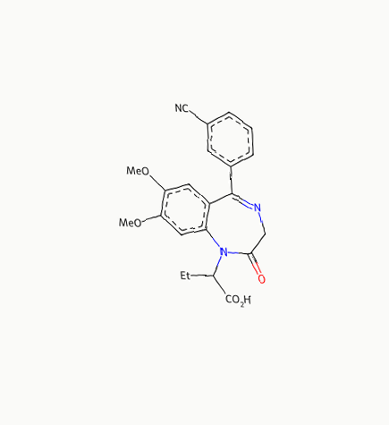 CCC(C(=O)O)N1C(=O)CN=C(c2cccc(C#N)c2)c2cc(OC)c(OC)cc21